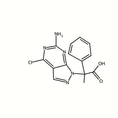 CC(C(=O)O)(c1ccccc1)n1ncc2c(Cl)nc(N)nc21